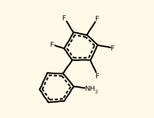 Nc1ccccc1-c1c(F)c(F)c(F)c(F)c1F